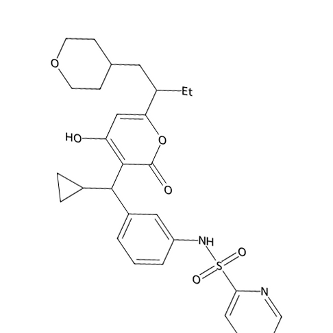 CCC(CC1CCOCC1)c1cc(O)c(C(c2cccc(NS(=O)(=O)c3ccccn3)c2)C2CC2)c(=O)o1